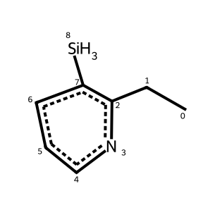 CCc1ncccc1[SiH3]